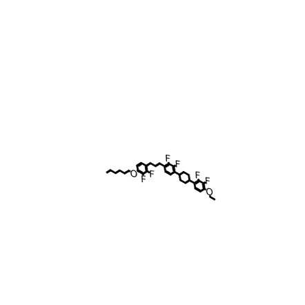 CCCCCCOc1ccc(CCCc2ccc(C3CCC(c4ccc(OCC)c(F)c4F)CC3)c(F)c2F)c(F)c1F